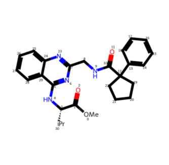 COC(=O)[C@@H](Nc1nc(CNC(=O)C2(c3ccccc3)CCCC2)nc2ccccc12)C(C)C